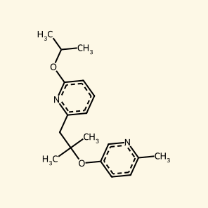 Cc1ccc(OC(C)(C)Cc2cccc(OC(C)C)n2)cn1